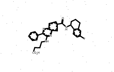 O=C(O)CCCNc1nc2cc(C(=O)NC3CCCc4cc(F)ccc43)ccc2nc1-c1ccccc1